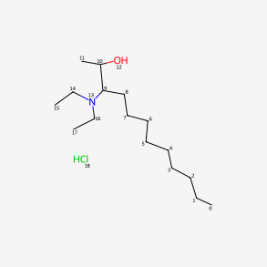 CCCCCCCCCC(C(C)O)N(CC)CC.Cl